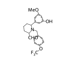 COc1cc(O)cc(C2CCCC(C=O)N2Cc2ccc(OC(F)(F)F)cc2)c1